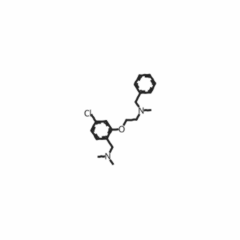 CN(C)Cc1ccc(Cl)cc1OCCN(C)Cc1ccccc1